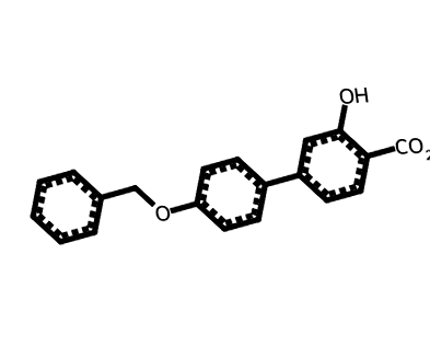 O=C(O)c1ccc(-c2ccc(OCc3ccccc3)cc2)cc1O